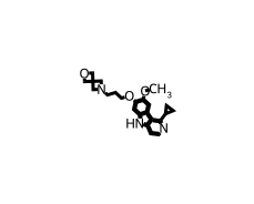 COc1cc2c(cc1OCCCN1CC3(COC3)C1)[nH]c1ccnc(C3CC3)c12